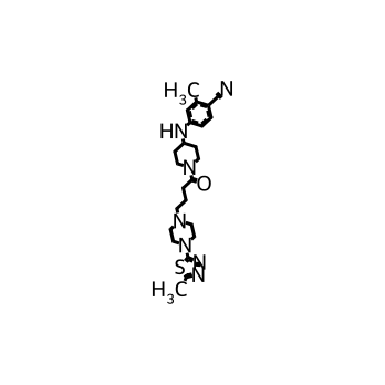 Cc1nnc(N2CCN(CCCC(=O)N3CCC(Nc4ccc(C#N)c(C)c4)CC3)CC2)s1